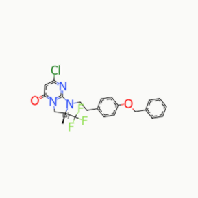 C[C@@]1(C(F)(F)F)Cn2c(nc(Cl)cc2=O)N1CCc1ccc(OCc2ccccc2)cc1